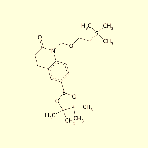 CC1(C)OB(c2ccc3c(c2)CCC(=O)N3COCC[Si](C)(C)C)OC1(C)C